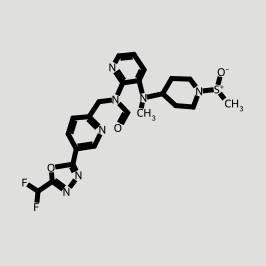 CN(c1cccnc1N(C=O)Cc1ccc(-c2nnc(C(F)F)o2)cn1)C1CCN([S+](C)[O-])CC1